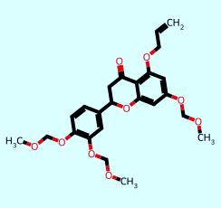 C=CCOc1cc(OCOC)cc2c1C(=O)CC(c1ccc(OCOC)c(OCOC)c1)O2